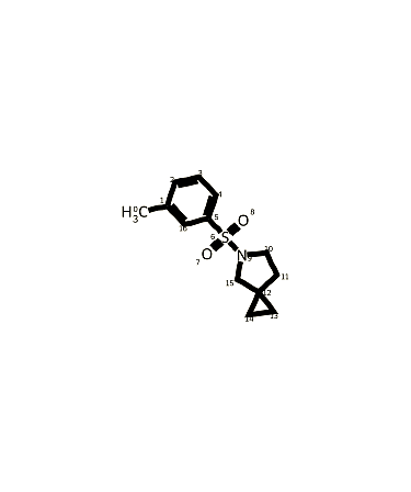 Cc1cccc(S(=O)(=O)N2CCC3(CC3)C2)c1